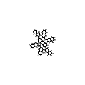 C1=CC2C=CC(N(c3ccc4ccccc4c3)c3c4cc(-c5ccc6ccccc6c5)ccc4c(N(c4ccc5ccccc5c4)C4C=Cc5ccccc5C4)c4cc(-c5ccc6ccccc6c5)ccc34)=CC2C=C1